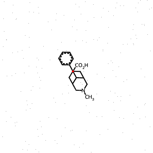 CN1CC2CC(c3ccccc3)CC(C1)C2CC(=O)O